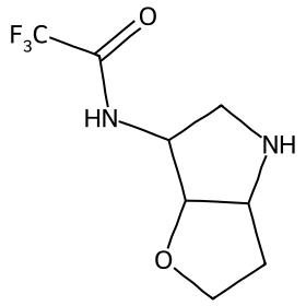 O=C(NC1CNC2CCOC21)C(F)(F)F